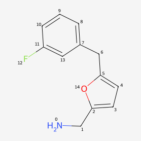 NCc1ccc(Cc2cccc(F)c2)o1